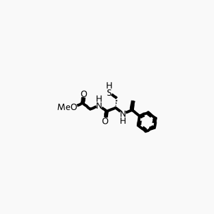 C=C(N[C@@H](CS)C(=O)NCC(=O)OC)c1ccccc1